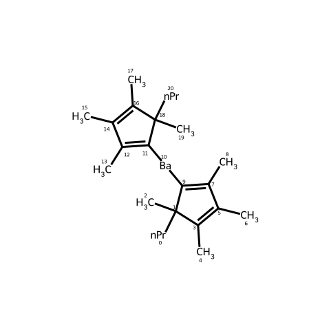 CCCC1(C)C(C)=C(C)C(C)=[C]1[Ba][C]1=C(C)C(C)=C(C)C1(C)CCC